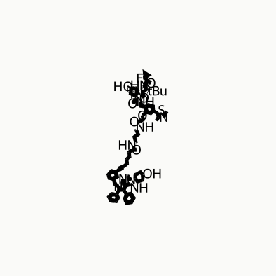 Cc1ncsc1-c1ccc(CNC(=O)[C@@H]2C[C@@H](O)CN2C(=O)[C@@H](NC(=O)C2(F)CC2)C(C)(C)C)c(OCC(=O)NCCCCNC(=O)CCCCC#Cc2cccc(Cn3c(-c4ccccc4)c(-c4ccccc4)c4c(=N)n(C5CCC(O)CC5)cnc43)c2)c1